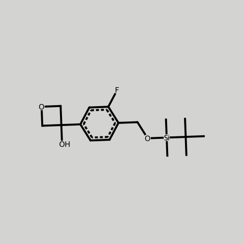 CC(C)(C)[Si](C)(C)OCc1ccc(C2(O)COC2)cc1F